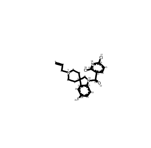 C=CCN1CCC2(CC1)CN(C(=O)c1ccc(Cl)nc1Cl)c1ccc(F)cc12